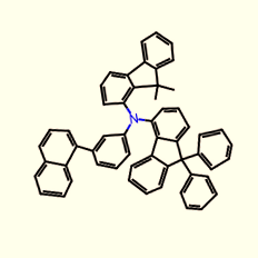 CC1(C)c2ccccc2-c2cccc(N(c3cccc(-c4cccc5ccccc45)c3)c3cccc4c3-c3ccccc3C4(c3ccccc3)c3ccccc3)c21